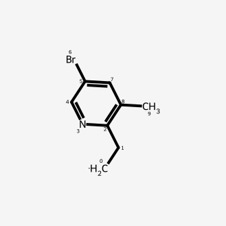 [CH2]Cc1ncc(Br)cc1C